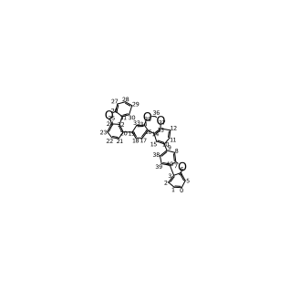 c1ccc2c(c1)oc1cc(-c3ccc4c(c3)-c3ccc(-c5cccc6oc7ccccc7c56)cc3OCO4)ccc12